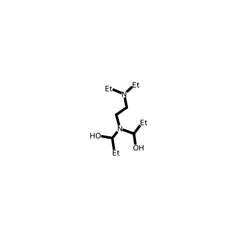 CCC(O)N(CCN(CC)CC)C(O)CC